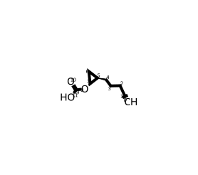 C#CCCC[C@@H]1C[C@H]1OC(=O)O